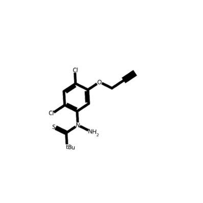 C#CCOc1cc(N(N)C(=S)C(C)(C)C)c(Cl)cc1Cl